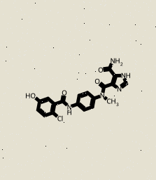 CN(C(=O)c1nc[nH]c1C(N)=O)c1ccc(NC(=O)c2cc(O)ccc2Cl)cc1